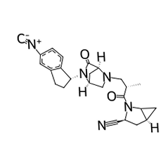 [C-]#[N+]c1ccc2c(c1)CC[C@H]2N1C(=O)[C@@H]2C[C@H]1CN2C[C@H](C)C(=O)N1C2C[C@H]2C[C@H]1C#N